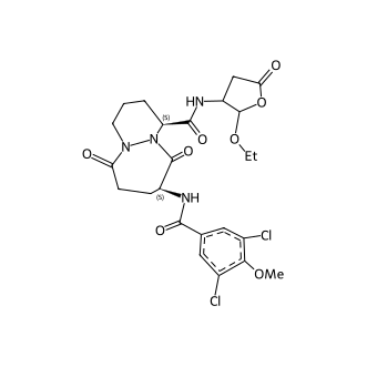 CCOC1OC(=O)CC1NC(=O)[C@@H]1CCCN2C(=O)CC[C@H](NC(=O)c3cc(Cl)c(OC)c(Cl)c3)C(=O)N12